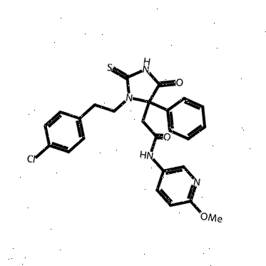 COc1ccc(NC(=O)CC2(c3ccccc3)C(=O)NC(=S)N2CCc2ccc(Cl)cc2)cn1